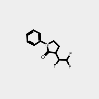 O=C1C(C(F)C(F)F)CCN1c1ccccc1